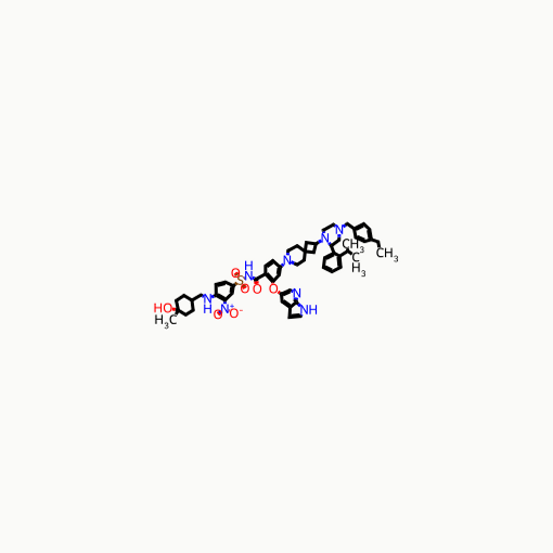 CCc1ccc(CN2CCN(C3CC4(CCN(c5ccc(C(=O)NS(=O)(=O)c6ccc(NCC7CCC(C)(O)CC7)c([N+](=O)[O-])c6)c(Oc6cnc7[nH]ccc7c6)c5)CC4)C3)C(c3ccccc3C(C)C)C2)cc1